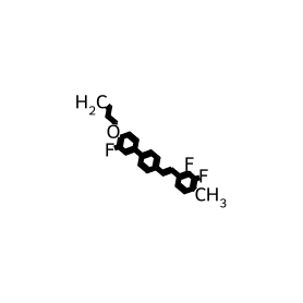 C=CCCOc1ccc(-c2ccc(/C=C/c3ccc(C)c(F)c3F)cc2)cc1F